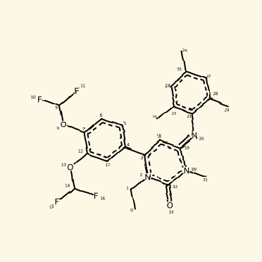 CCn1c(-c2ccc(OC(F)F)c(OC(F)F)c2)cc(=Nc2c(C)cc(C)cc2C)n(C)c1=O